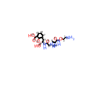 NCCONC(=O)c1cn(CC(=O)NC2Cc3cccc(C(=O)O)c3OB2O)nn1